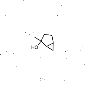 CC1(O)CCC2CC21